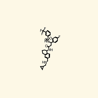 O=C(CC(NS(=O)(=O)c1cccc(C(F)(F)F)c1)c1ccc(F)cc1)NC1CCCc2cc(CNCC3CC3)ccc21